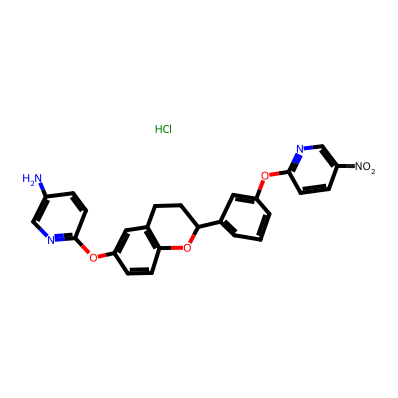 Cl.Nc1ccc(Oc2ccc3c(c2)CCC(c2cccc(Oc4ccc([N+](=O)[O-])cn4)c2)O3)nc1